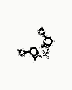 O=C1N2CC(CCC2c2nnco2)N1OS(=O)(=O)ON1C(=O)N2CC1CCC2c1nnco1